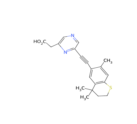 Cc1cc2c(cc1C#Cc1cncc(CC(=O)O)n1)C(C)(C)CCS2